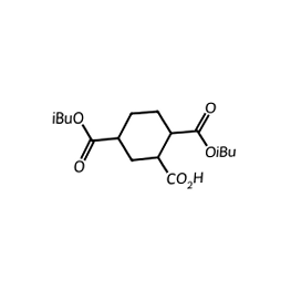 CC(C)COC(=O)C1CCC(C(=O)OCC(C)C)C(C(=O)O)C1